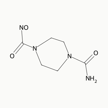 NC(=O)N1CCN(C(=O)N=O)CC1